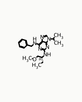 CC[C@H](COC)Nc1nc(NCc2ccccc2)c2ncn(C(C)C)c2n1